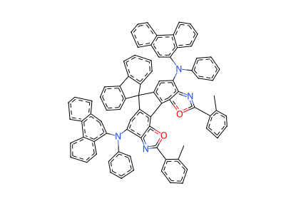 Cc1ccccc1-c1nc2c(N(c3ccccc3)c3cc4ccccc4c4ccccc34)cc3c(c2o1)-c1c(cc(N(c2ccccc2)c2cc4ccccc4c4ccccc24)c2nc(-c4ccccc4C)oc12)C31c2ccccc2-c2ccccc21